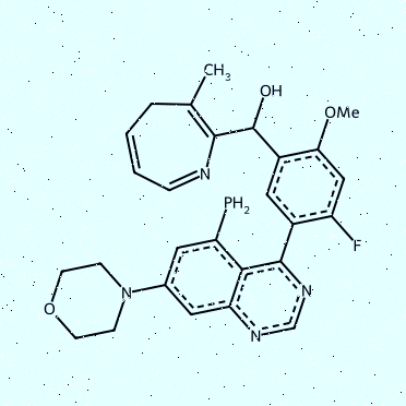 COc1cc(F)c(-c2ncnc3cc(N4CCOCC4)cc(P)c23)cc1C(O)C1=C(C)CC=CC=N1